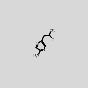 Nc1cnc(CC(Cl)C(F)(F)F)cn1